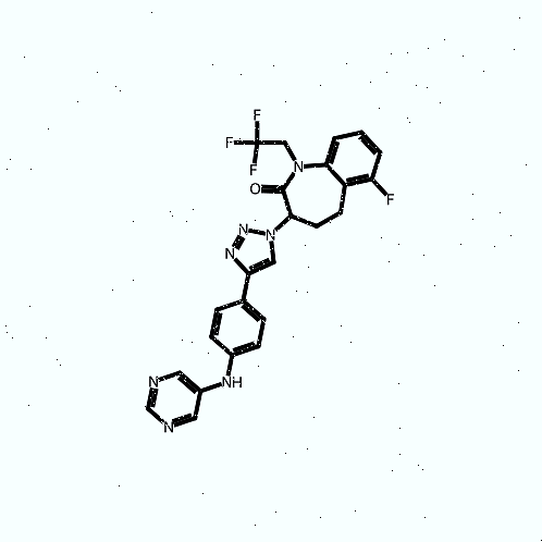 O=C1C(n2cc(-c3ccc(Nc4cncnc4)cc3)nn2)CCc2c(F)cccc2N1CC(F)(F)F